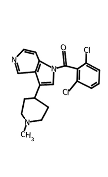 CN1CCC(c2cn(C(=O)c3c(Cl)cccc3Cl)c3ccncc23)CC1